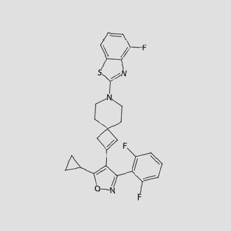 Fc1cccc(F)c1-c1noc(C2CC2)c1C1=CC2(CCN(c3nc4c(F)cccc4s3)CC2)C1